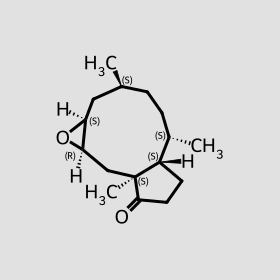 C[C@H]1CC[C@H](C)[C@@H]2CCC(=O)[C@@]2(C)C[C@H]2O[C@H]2C1